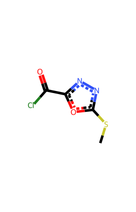 CSc1nnc(C(=O)Cl)o1